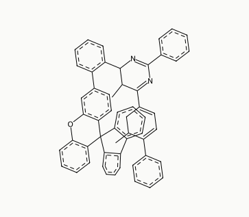 CC1CC(C2=NC(c3ccccc3)=NC(c3ccccc3-c3ccc4c(c3)Oc3ccccc3C43c4ccccc4-c4ccccc43)C2C)=CC=C1c1ccccc1